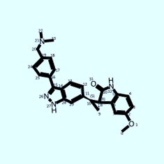 COc1ccc2c(c1)[C@]1(C[C@H]1c1ccc3c(-c4ccc(CN(C)C)cc4)n[nH]c3c1)C(=O)N2